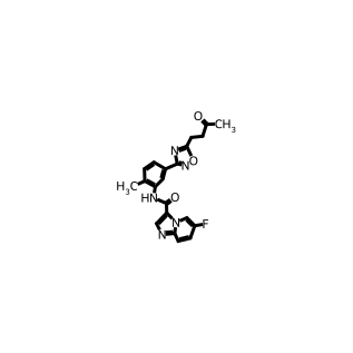 CC(=O)CCc1nc(-c2ccc(C)c(NC(=O)c3cnc4ccc(F)cn34)c2)no1